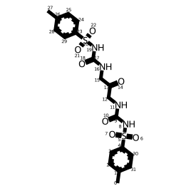 Cc1ccc(S(=O)(=O)NC(=O)NCC(=O)CNC(=O)NS(=O)(=O)c2ccc(C)cc2)cc1